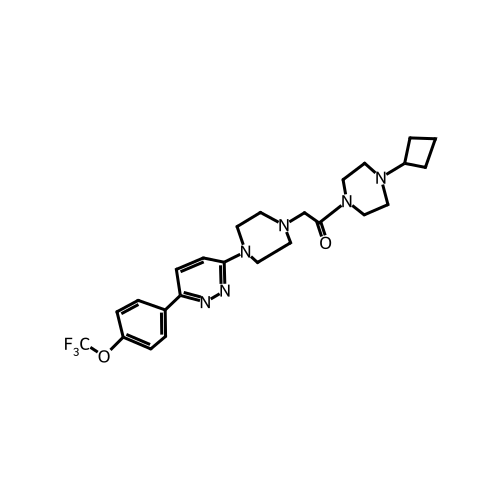 O=C(CN1CCN(c2ccc(-c3ccc(OC(F)(F)F)cc3)nn2)CC1)N1CCN(C2CCC2)CC1